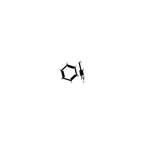 CC#N.c1ccccc1